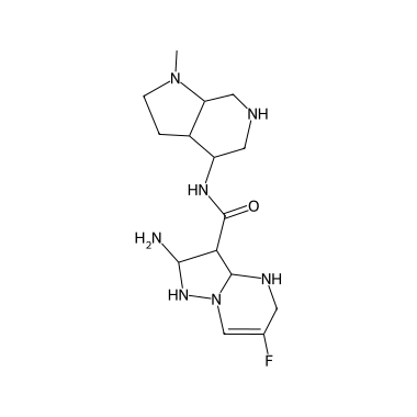 CN1CCC2C(NC(=O)C3C(N)NN4C=C(F)CNC34)CNCC21